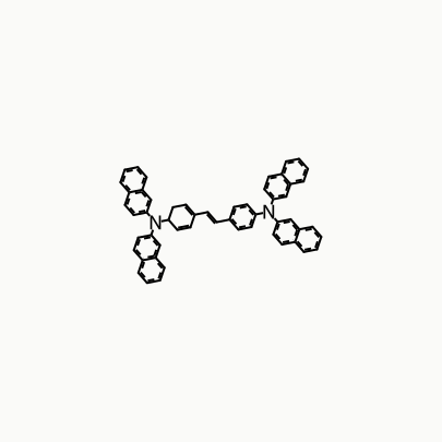 C1=CC(N(c2ccc3ccccc3c2)c2ccc3ccccc3c2)CC=C1/C=C/c1ccc(N(c2ccc3ccccc3c2)c2ccc3ccccc3c2)cc1